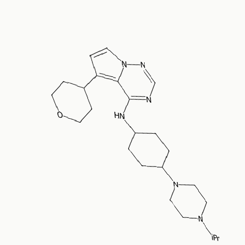 CC(C)N1CCN(C2CCC(Nc3ncnn4ccc(C5CCOCC5)c34)CC2)CC1